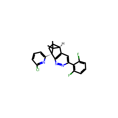 CC1(C)[C@H]2CC[C@]1(c1cccc(Cl)n1)c1nnc(-c3c(F)cccc3F)cc12